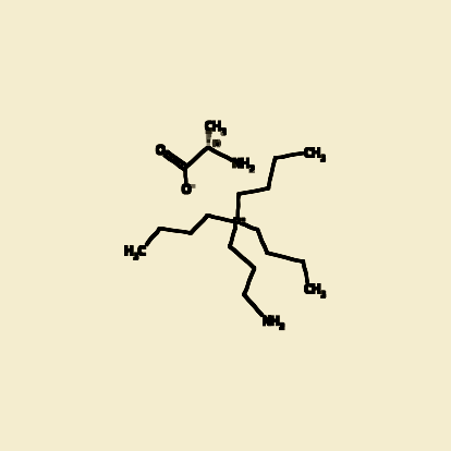 CCCC[P+](CCCC)(CCCC)CCCN.C[C@H](N)C(=O)[O-]